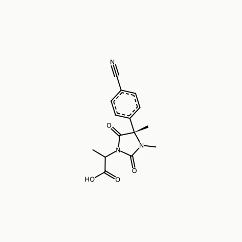 CC(C(=O)O)N1C(=O)N(C)[C@@](C)(c2ccc(C#N)cc2)C1=O